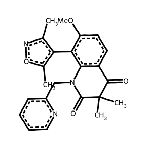 COc1ccc2c(c1-c1c(C)noc1C)N(Cc1ccccn1)C(=O)C(C)(C)C2=O